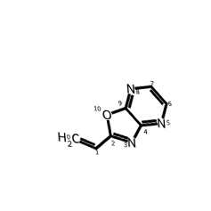 C=Cc1nc2nccnc2o1